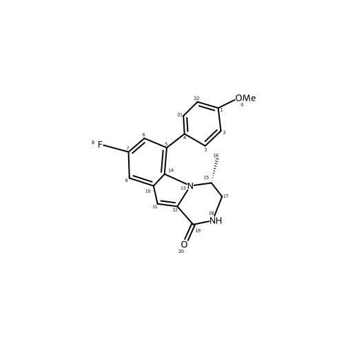 COc1ccc(-c2cc(F)cc3cc4n(c23)[C@H](C)CNC4=O)cc1